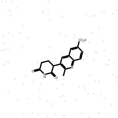 Cc1nc2ccc(C(=O)O)cc2cc1C1CCC(=O)NC1=O